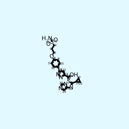 NS(=O)(=O)CCCOc1ccc(-n2cc(C(O)[SH]3C(C4CC4)=Nc4cncn43)nn2)cc1